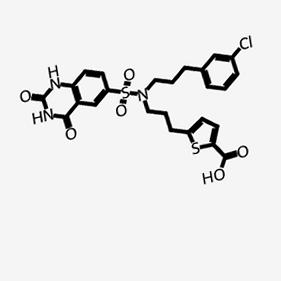 O=C(O)c1ccc(CCCN(CCCc2cccc(Cl)c2)S(=O)(=O)c2ccc3[nH]c(=O)[nH]c(=O)c3c2)s1